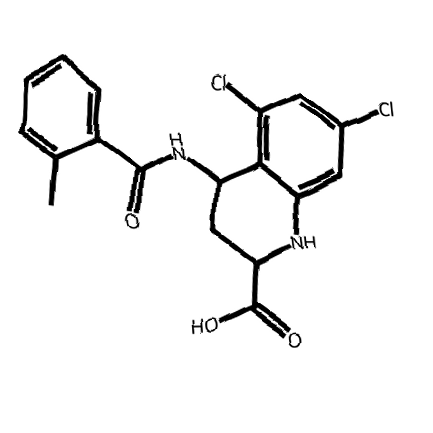 Cc1ccccc1C(=O)NC1CC(C(=O)O)Nc2cc(Cl)cc(Cl)c21